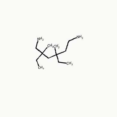 CCC(C)(CN)CC(C)(CC)CCN